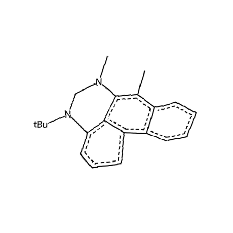 Cc1c2c3c(cccc3c3ccccc13)N(C(C)(C)C)CN2C